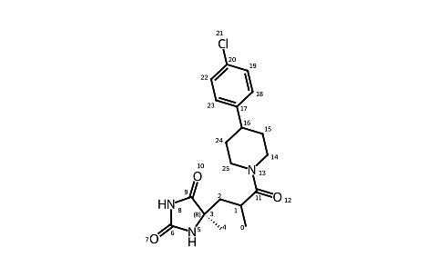 CC(C[C@@]1(C)NC(=O)NC1=O)C(=O)N1CCC(c2ccc(Cl)cc2)CC1